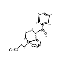 O=CCCC1(C(=O)O)CCCN(C(=O)c2ccccc2)C1=O